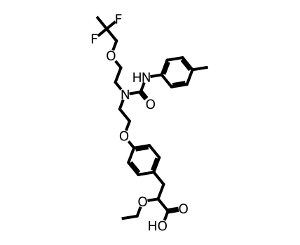 CCOC(Cc1ccc(OCCN(CCOCC(C)(F)F)C(=O)Nc2ccc(C)cc2)cc1)C(=O)O